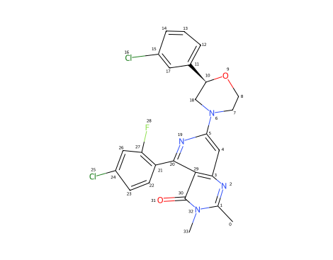 Cc1nc2cc(N3CCO[C@H](c4cccc(Cl)c4)C3)nc(-c3ccc(Cl)cc3F)c2c(=O)n1C